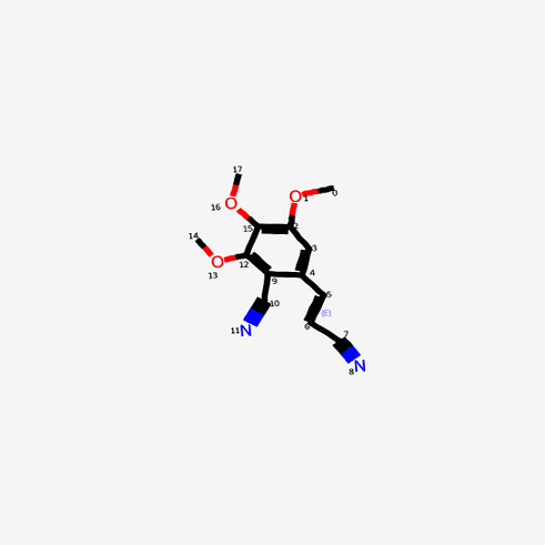 COc1cc(/C=C/C#N)c(C#N)c(OC)c1OC